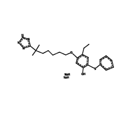 CCc1cc(Sc2ccccc2)c(O)cc1OCCCCCC(C)(C)c1nn[nH]n1.[NaH].[NaH]